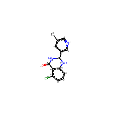 CCc1cncc(C2NC(=O)c3c(Cl)cccc3N2)c1